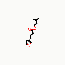 CCCC(=O)OCCC(C)C.c1ccoc1